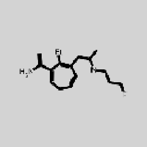 C=C(N)C1=CCC=CC(CC(C)NCCCF)=C1CC